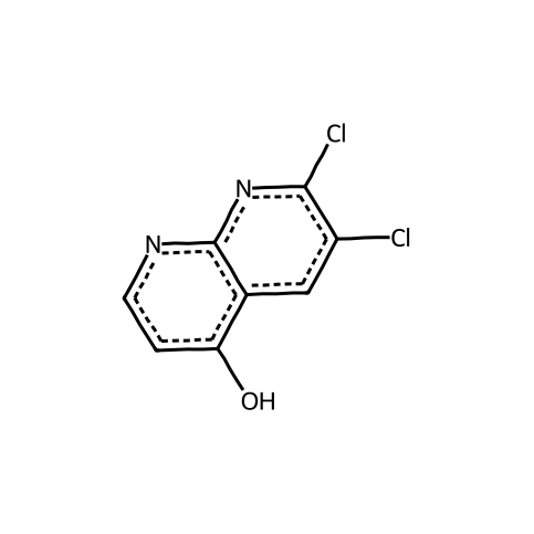 Oc1ccnc2nc(Cl)c(Cl)cc12